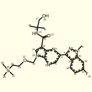 Cn1nc(-c2cnc3c(n2)c(C(=O)NC(C)(C)CO)cn3COCC[Si](C)(C)C)c2ccc(F)cc21